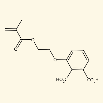 C=C(C)C(=O)OCCOc1cccc(C(=O)O)c1C(=O)O